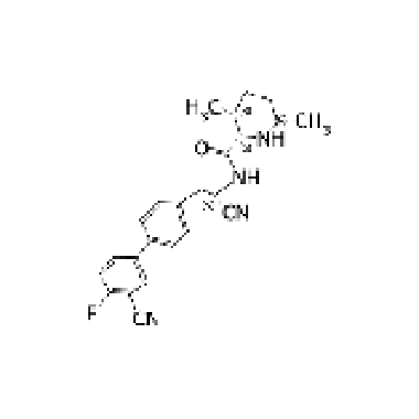 C[C@@H]1CC[C@H](C)N[C@@H]1C(=O)N[C@H](C#N)Cc1ccc(-c2ccc(F)c(C#N)c2)cc1